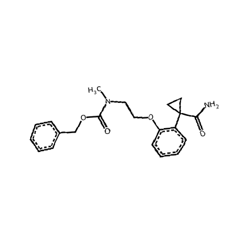 CN(CCOc1ccccc1C1(C(N)=O)CC1)C(=O)OCc1ccccc1